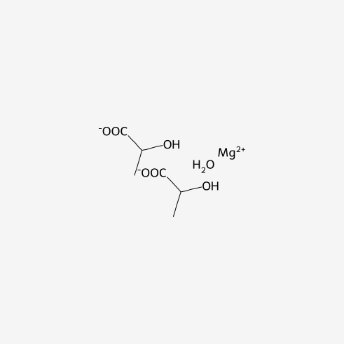 CC(O)C(=O)[O-].CC(O)C(=O)[O-].O.[Mg+2]